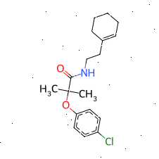 CC(C)(Oc1ccc(Cl)cc1)C(=O)NCCC1=CCCCC1